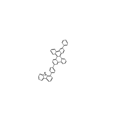 c1ccc(-c2ccc3c(c2)c2ccccc2c2c4ccc(-c5ccc(-c6cccc7c6sc6ccccc67)cc5)cc4c4ccccc4c32)cc1